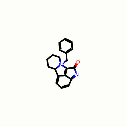 O=C1N=c2cccc3c2=C1[N+]1(Cc2ccccc2)CCCCC31